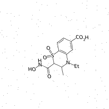 CCN1c2cc(C(=O)O)ccc2S(=O)(=O)C(C(=O)NO)C1C